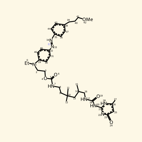 CCN(CCOC(=O)NCCC(C)(C)CC(C)CNC(=O)Nc1nc(=O)cc(C)[nH]1)c1ccc(/N=N/c2ccc(CCCOC)cc2)cc1